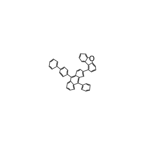 c1ccc(-c2ccc(-c3c4ccccc4c(-c4ccccc4)c4cc(-c5cccc6oc7ccccc7c56)ccc34)cc2)cc1